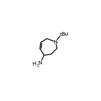 CC(C)(C)N1CC=CC(N)CC1